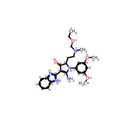 CCOCN(C)CCC1C(=O)C(c2nc3ccccc3[nH]2)=C(N)N1c1cc(OC)cc(OC)c1